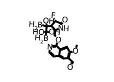 BC(O)(O)C(B)(O)C1C(COc2nccc3cc(C=O)c(OC)cc23)NC(=O)[C@H]1F